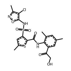 Cc1cc(C)c(NC(=O)c2sc(C)cc2S(=O)(=O)Nc2onc(C)c2Cl)c(C(=O)CO)c1